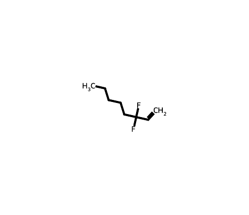 C=CC(F)(F)CCCCC